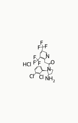 Cl.N[C@@H]1CCN(C(=O)Cc2ncc(C(F)(F)F)cc2C(F)(F)F)[C@@H]1c1cccc(Cl)c1Cl